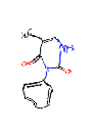 Cc1c[nH]c(=O)n(-c2ccccc2)c1=O